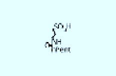 CCCCCC(=O)NCCCS(=O)(=O)O